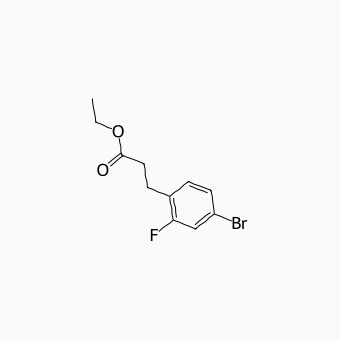 CCOC(=O)CCc1ccc(Br)cc1F